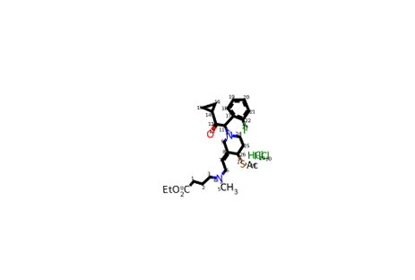 CCOC(=O)CCCN(C)C/C=C1/CN(C(C(=O)C2CC2)c2ccccc2F)CCC1SC(C)=O.Cl.Cl